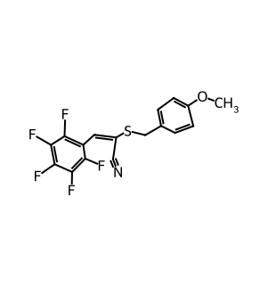 COc1ccc(CSC(C#N)=Cc2c(F)c(F)c(F)c(F)c2F)cc1